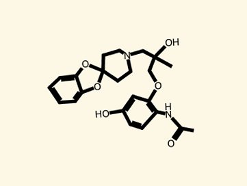 CC(=O)Nc1ccc(O)cc1OCC(C)(O)CN1CCC2(CC1)Oc1ccccc1O2